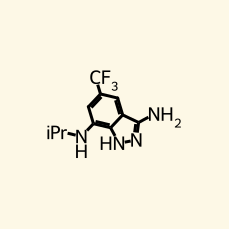 CC(C)Nc1cc(C(F)(F)F)cc2c(N)n[nH]c12